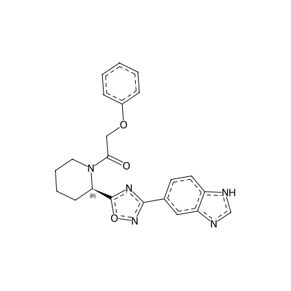 O=C(COc1ccccc1)N1CCCC[C@@H]1c1nc(-c2ccc3[nH]cnc3c2)no1